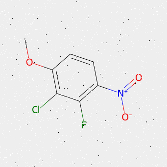 COc1ccc([N+](=O)[O-])c(F)c1Cl